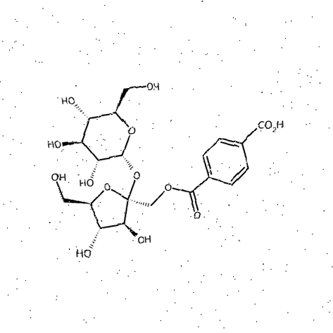 O=C(O)c1ccc(C(=O)OC[C@@]2(O[C@H]3O[C@H](CO)[C@@H](O)[C@H](O)[C@H]3O)O[C@H](CO)[C@@H](O)[C@@H]2O)cc1